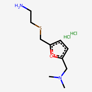 CN(C)Cc1ccc(CSCCN)o1.Cl.Cl